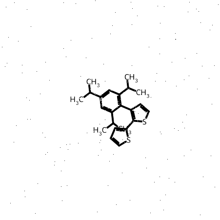 CC(C)c1cc(C(C)C)c(-c2ccsc2-c2cccs2)c(C(C)C)c1